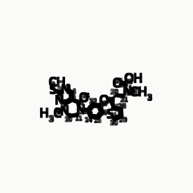 CSc1ncc2c(n1)N(C)CCN(c1cccc(O[C@H](CCN(C)C(=O)O)c3cccs3)c1)C2=O